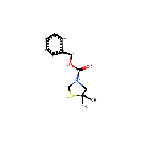 CC1(C)CN(C(=O)OCc2ccccc2)CS1